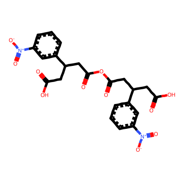 O=C(O)CC(CC(=O)OC(=O)CC(CC(=O)O)c1cccc([N+](=O)[O-])c1)c1cccc([N+](=O)[O-])c1